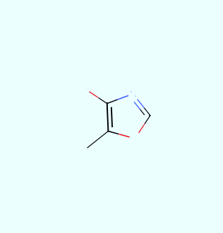 Cc1ocnc1O